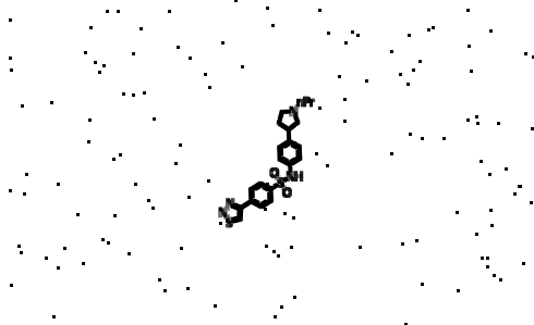 CCCN1CCC(c2ccc(NS(=O)(=O)c3ccc(-c4csnn4)cc3)cc2)C1